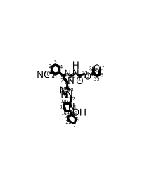 N#Cc1cccc(-c2cc(-c3cn(Cc4cccc(C5(O)CCCC5)n4)nn3)nc(NC(=O)COc3ccccc3)n2)c1